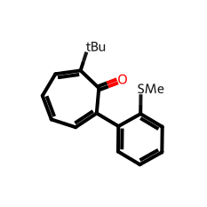 CSc1ccccc1-c1ccccc(C(C)(C)C)c1=O